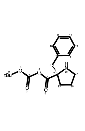 CC(C)(C)OC(=O)OC(=O)[C@]1(Cc2ccccc2)CCCN1